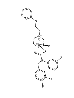 O=C(O[C@H]1C[N+]2(CCSc3ccccc3)CCC1CC2)N(Cc1ccc(F)c(F)c1)c1cccc(F)c1